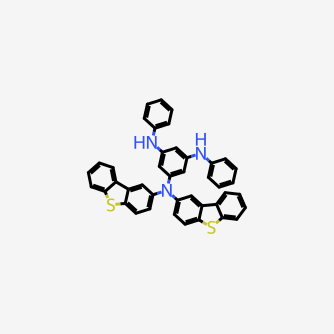 c1ccc(Nc2cc(Nc3ccccc3)cc(N(c3ccc4sc5ccccc5c4c3)c3ccc4sc5ccccc5c4c3)c2)cc1